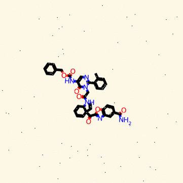 C=CC1(C(=O)c2nc3cc(C(N)=O)ccc3o2)C=CC=CC1NC(=O)Cn1c(-c2ccccc2C)ncc(NC(=O)OCc2ccccc2)c1=O